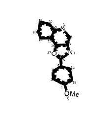 COc1ccc(-c2nc3cnc4ccccc4c3o2)cc1